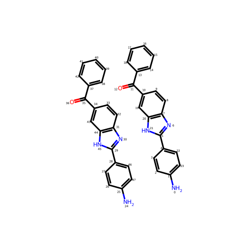 Nc1ccc(-c2nc3ccc(C(=O)c4ccccc4)cc3[nH]2)cc1.Nc1ccc(-c2nc3ccc(C(=O)c4ccccc4)cc3[nH]2)cc1